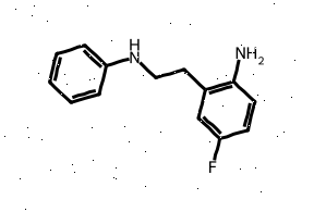 Nc1ccc(F)cc1CCNc1ccccc1